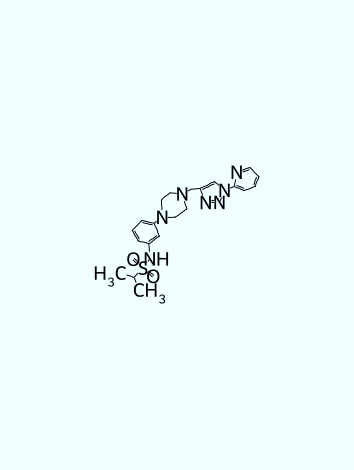 CC(C)S(=O)(=O)Nc1cccc(N2CCN(Cc3cn(-c4ccccn4)nn3)CC2)c1